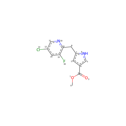 COC(=O)c1c[nH]c(Cc2ncc(Cl)cc2F)c1